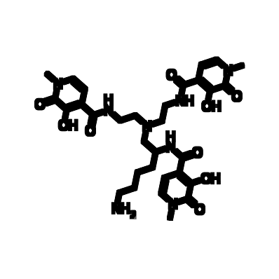 Cn1ccc(C(=O)NCCN(CCNC(=O)c2ccn(C)c(=O)c2O)CC(CCCCN)NC(=O)c2ccn(C)c(=O)c2O)c(O)c1=O